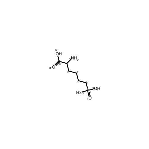 NC(CCCCP(=O)(O)S)C(=O)O